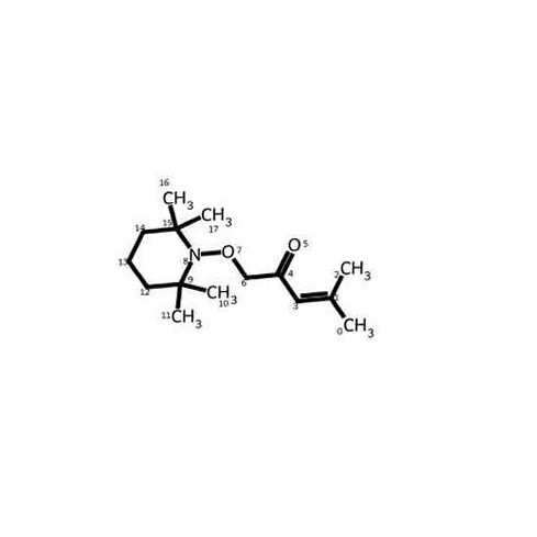 CC(C)=CC(=O)CON1C(C)(C)CCCC1(C)C